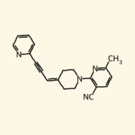 Cc1ccc(C#N)c(N2CCC(=CC#Cc3ccccn3)CC2)n1